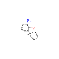 CC12C=CC=CC1Oc1c(N)cccc12